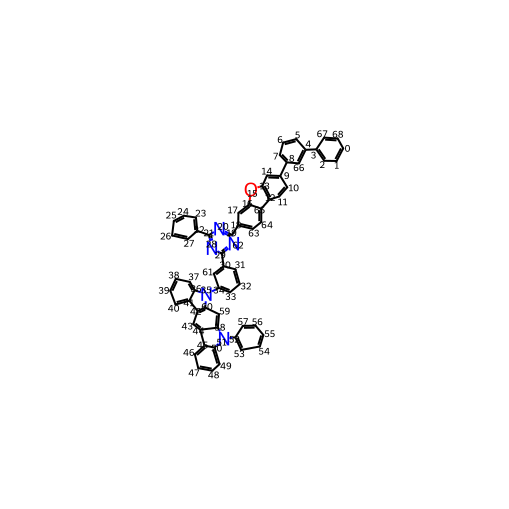 c1ccc(-c2cccc(-c3ccc4c(c3)oc3cc(-c5nc(-c6ccccc6)nc(-c6cccc(-n7c8ccccc8c8cc9c%10ccccc%10n(-c%10ccccc%10)c9cc87)c6)n5)ccc34)c2)cc1